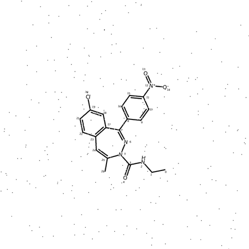 CCNC(=O)N1N=C(c2ccc([N+](=O)[O-])cc2)c2cc(Cl)ccc2C=C1C